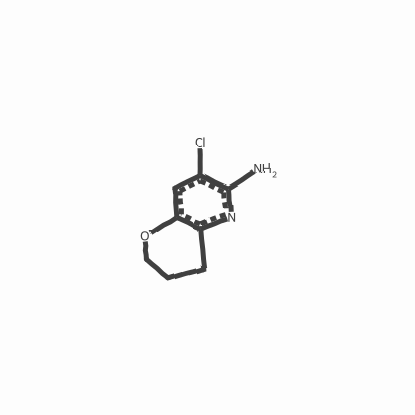 Nc1nc2c(cc1Cl)OCCC2